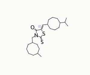 CC1CCCCC(CN2C(=O)/C(=C/C3CCCC(C(C)C)CCC3)SC2=S)CC1